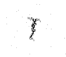 CCCCCCCc1cnc(-c2ccc(OC(=O)C(CCC)CCC)cc2)nc1